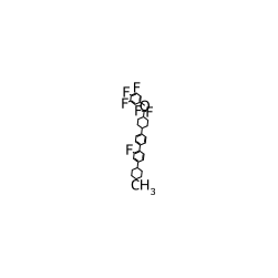 CC1CCC(c2ccc(-c3ccc(C4CCC(C(F)(F)Oc5cc(F)c(F)c(F)c5)CC4)cc3)c(F)c2)CC1